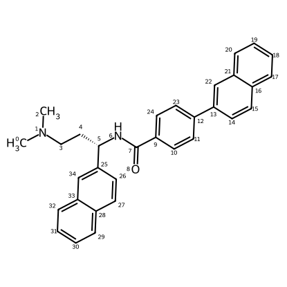 CN(C)CC[C@H](NC(=O)c1ccc(-c2ccc3ccccc3c2)cc1)c1ccc2ccccc2c1